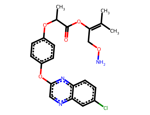 CC(C)=C(CON)OC(=O)C(C)Oc1ccc(Oc2cnc3cc(Cl)ccc3n2)cc1